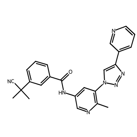 Cc1ncc(NC(=O)c2cccc(C(C)(C)C#N)c2)cc1-n1cc(-c2cccnc2)nn1